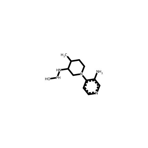 CC1CCN(c2ccncc2N)CC1NPO